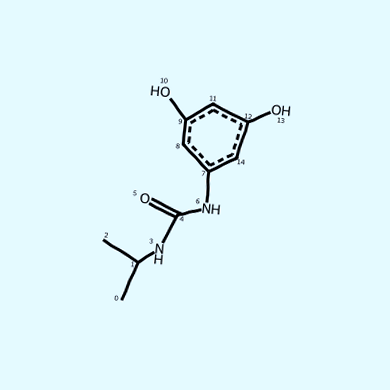 CC(C)NC(=O)Nc1cc(O)cc(O)c1